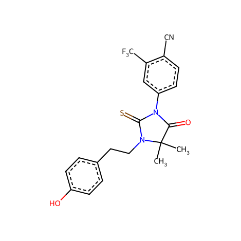 CC1(C)C(=O)N(c2ccc(C#N)c(C(F)(F)F)c2)C(=S)N1CCc1ccc(O)cc1